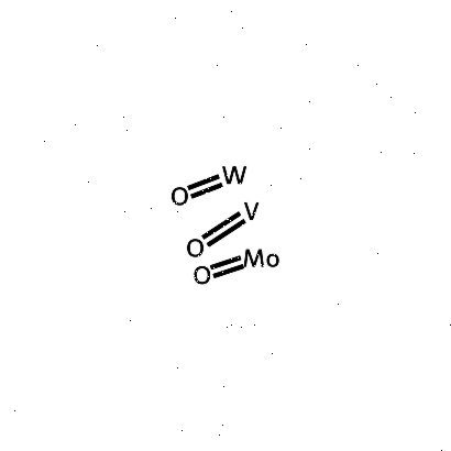 [O]=[Mo].[O]=[V].[O]=[W]